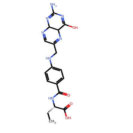 CC[C@H](NC(=O)c1ccc(NCC2=NC3C(O)=NC(N)=NC3N=C2)cc1)C(=O)O